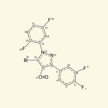 O=Cc1c(-c2ccc(F)c(F)c2)nn(-c2cc(F)ccc2F)c1Br